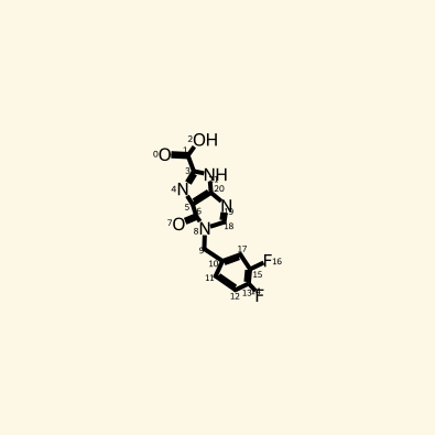 O=C(O)c1nc2c(=O)n(Cc3ccc(F)c(F)c3)cnc2[nH]1